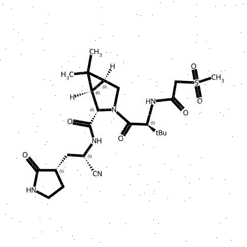 CC(C)(C)[C@H](NC(=O)CS(C)(=O)=O)C(=O)N1C[C@H]2[C@@H]([C@H]1C(=O)N[C@H](C#N)C[C@@H]1CCNC1=O)C2(C)C